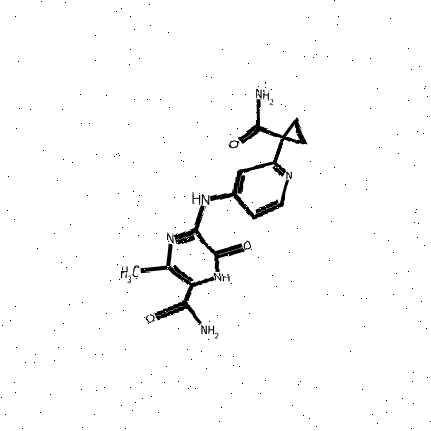 Cc1nc(Nc2ccnc(C3(C(N)=O)CC3)c2)c(=O)[nH]c1C(N)=O